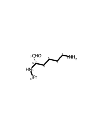 CC(C)N[C@H]([C]=O)CCCCN